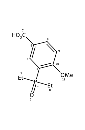 CCP(=O)(CC)c1cc(C(=O)O)ccc1OC